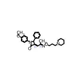 COc1ccc(N2C(=O)/C(=C/C(C)=N/OCCCN3CCCCC3)C2c2ccccc2)cc1